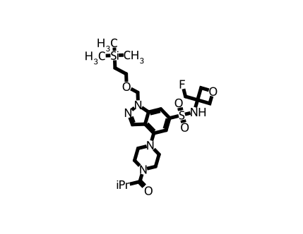 CC(C)C(=O)N1CCN(c2cc(S(=O)(=O)NC3(CF)COC3)cc3c2cnn3COCC[Si](C)(C)C)CC1